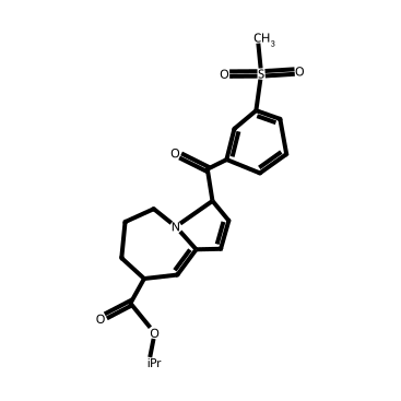 CC(C)OC(=O)C1C=C2C=CC(C(=O)c3cccc(S(C)(=O)=O)c3)N2CCC1